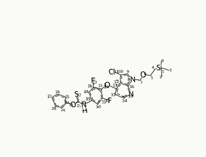 C[Si](C)(C)CCOCn1cc(Cl)c2c(Oc3c(F)cc(NC(=S)Oc4ccccc4)cc3F)ccnc21